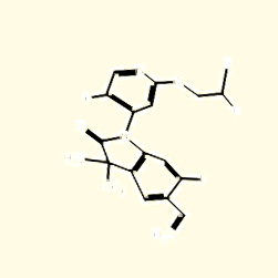 C=Cc1cc2c(cc1F)N(c1cc(OCC(F)F)ncc1F)C(=O)C2(C)C